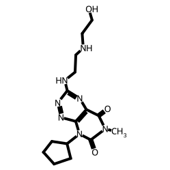 Cn1c(=O)c2nc(NCCNCCO)nnc2n(C2CCCC2)c1=O